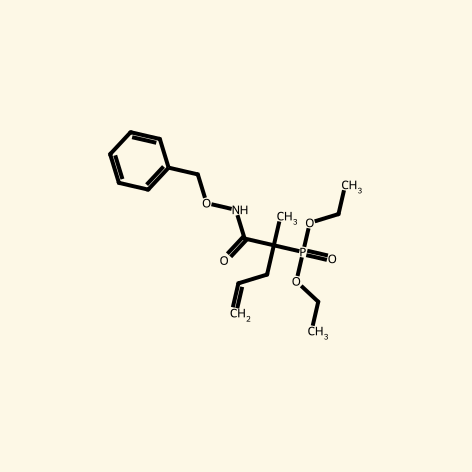 C=CCC(C)(C(=O)NOCc1ccccc1)P(=O)(OCC)OCC